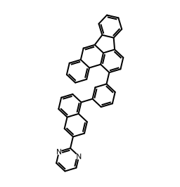 c1cnc(-c2ccc3c(-c4cccc(-c5ccc6c7c(cc8ccccc8c57)-c5ccccc5-6)c4)cccc3c2)nc1